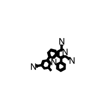 CC1CC(C#N)=Cc2c1n(-c1ccccc1-c1ccc(C#N)nc1C#N)c1ccccc21